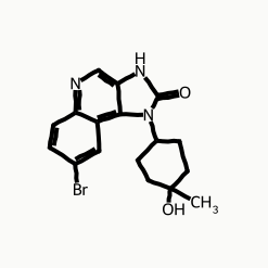 CC1(O)CCC(n2c(=O)[nH]c3cnc4ccc(Br)cc4c32)CC1